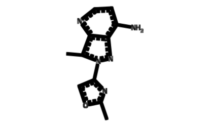 Cc1nc(-n2nc3c(N)ccnc3c2C)co1